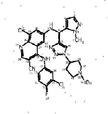 Cn1nccc1[C@H](Nc1cc(Cl)c2ncc(C#N)c(Nc3ccc(F)c(Cl)c3)c2c1)c1cn(C2CCN(C(C)(C)C)CC2)nn1